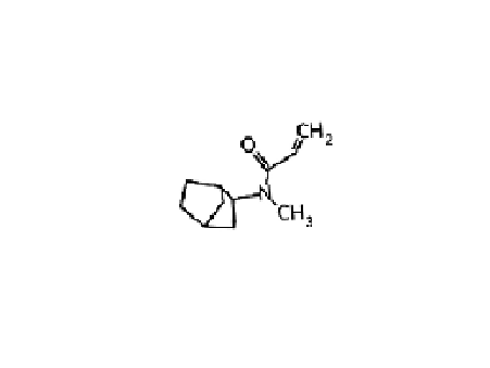 C=CC(=O)N(C)C1CC2CCC1C2